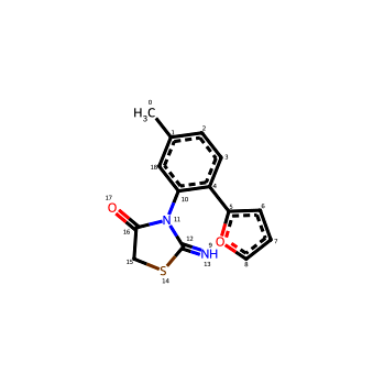 Cc1ccc(-c2ccco2)c(N2C(=N)SCC2=O)c1